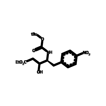 CCOC(=O)CC(O)[C@H](Cc1ccc([N+](=O)[O-])cc1)NC(=O)OC(C)(C)C